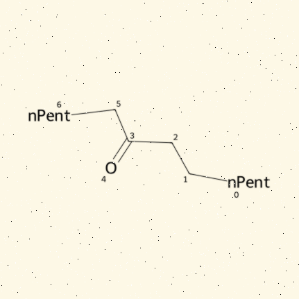 [CH2]CCCCCCC(=O)CCCCC[CH2]